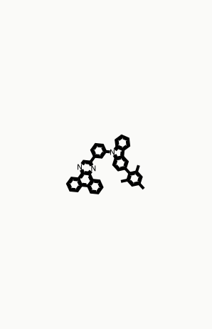 Cc1cc(C)c(-c2ccc3c(c2)c2ccccc2n3-c2cccc(-c3cnc4c5ccccc5c5ccccc5c4n3)c2)c(C)c1